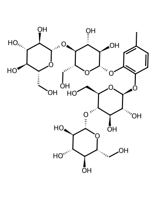 Cc1ccc(O[C@@H]2O[C@H](CO)[C@@H](O[C@@H]3O[C@H](CO)[C@@H](O)[C@H](O)[C@H]3O)[C@H](O)[C@H]2O)c(O[C@@H]2O[C@H](CO)[C@@H](O[C@@H]3O[C@H](CO)[C@@H](O)[C@H](O)[C@H]3O)[C@H](O)[C@H]2O)c1